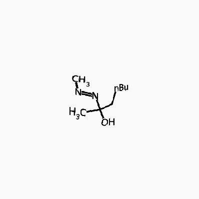 CCCCCC(C)(O)N=NC